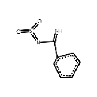 N=C(N=S(=O)=O)c1ccccc1